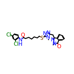 Cn1c(Cc2nn(C)c(=O)c3ccccc23)nnc1SCCCCCCC(=O)Nc1ccc(Cl)cc1Cl